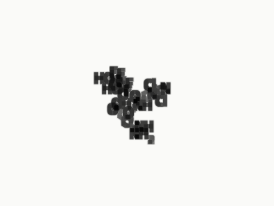 N=C(N)c1ccc(CCC(=O)O)c(OCCNC(=O)C2CCN(c3c(Cl)cncc3Cl)CC2)c1.O=C(O)C(F)(F)F.O=C(O)C(F)(F)F